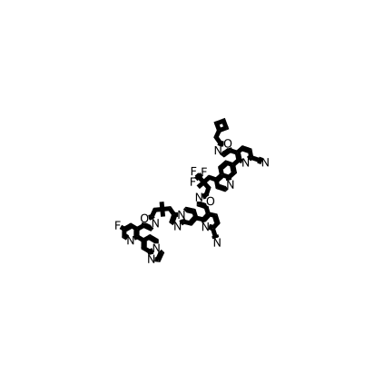 CC(C)(Cc1ncc(-c2cc(F)cnc2-c2ccn3ccnc3c2)o1)Cc1cnc2cc(-c3nc(C#N)ccc3-c3cnc(CC(C)(Cc4ccnc5cc(-c6nc(C#N)ccc6-c6cnc(CC7CCC7)o6)ccc45)C(F)(F)F)o3)ccn12